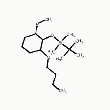 CCCCOC1CCC[C@@H](OC)C1O[Si](C)(C)C(C)(C)C